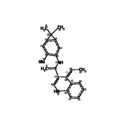 C=C(Nc1cc2c(cc1C(C)(C)C)C2(C)C)C1=CNc2ccccc2/C1=C\C